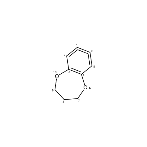 C1=C=CC2=C(C=1)OCCCO2